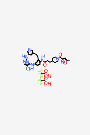 Cc1cc(C(=O)N2CCC(CCC(=O)Nc3ccc4cc3CCc3cncc(c3)Nc3ncc(Cl)c(n3)N4)CC2)no1.O=C(O)C(F)(F)F.O=C(O)C(F)(F)F